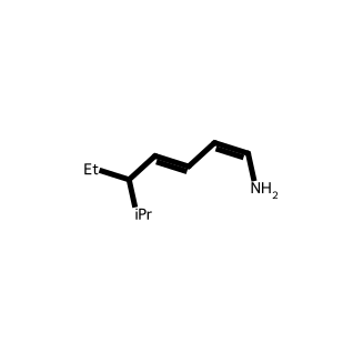 CCC(/C=C/C=C\N)C(C)C